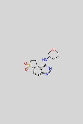 O=S1(=O)CCc2c1ccc1ncnc(NC3CCCOC3)c21